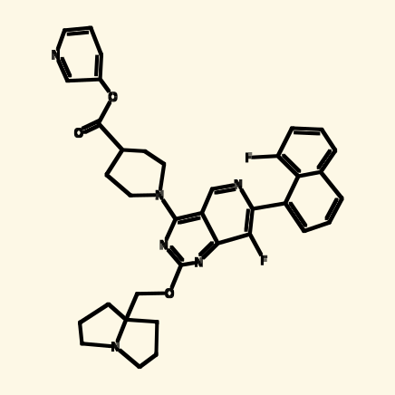 O=C(Oc1cccnc1)C1CCN(c2nc(OCC34CCCN3CCC4)nc3c(F)c(-c4cccc5cccc(F)c45)ncc23)CC1